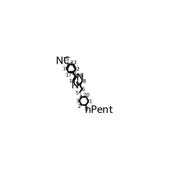 CCCCC[C@H]1CC[C@H](CCc2cnc(-c3ccc(C#N)cc3)cn2)CC1